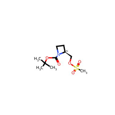 CC(C)(C)OC(=O)N1CC[C@H]1COS(C)(=O)=O